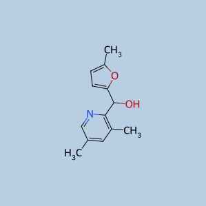 Cc1cnc(C(O)c2ccc(C)o2)c(C)c1